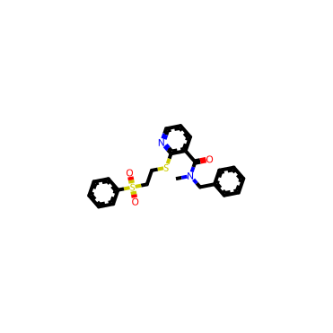 CN(Cc1ccccc1)C(=O)c1cccnc1SCCS(=O)(=O)c1ccccc1